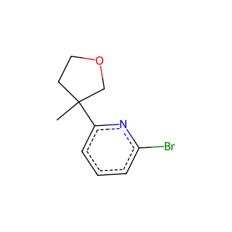 CC1(c2cccc(Br)n2)CCOC1